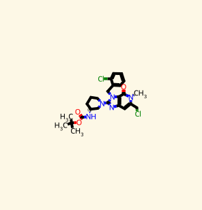 Cn1c(CCl)cc2nc(N3CCC[C@@H](NC(=O)OC(C)(C)C)C3)n(Cc3ccccc3Cl)c2c1=O